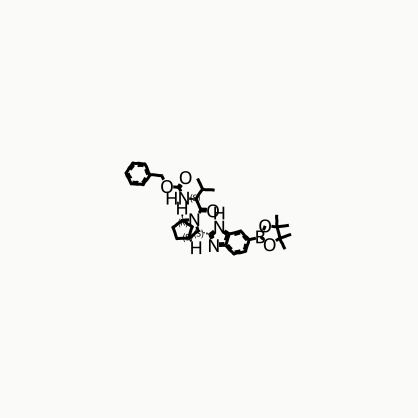 CC(C)[C@H](NC(=O)OCc1ccccc1)C(=O)N1[C@@H]2CC[C@@H](C2)[C@H]1c1nc2ccc(B3OC(C)(C)C(C)(C)O3)cc2[nH]1